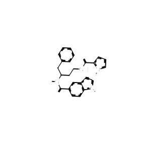 CN(C(=O)c1ccc2c(ccn2C)c1)C(CCNC(=O)c1cccn1C)Cc1ccccc1